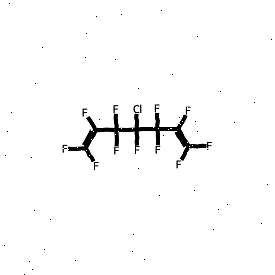 FC(F)=C(F)C(F)(F)C(F)(Cl)C(F)(F)C(F)=C(F)F